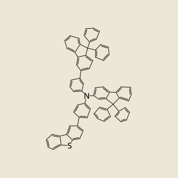 c1ccc(C2(c3ccccc3)c3ccccc3-c3cc(-c4cccc(N(c5ccc(-c6ccc7sc8ccccc8c7c6)cc5)c5ccc6c(c5)C(c5ccccc5)(c5ccccc5)c5ccccc5-6)c4)ccc32)cc1